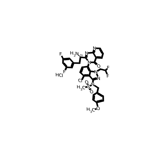 COc1ccc(CN(c2nn(CC(F)F)c3c(-n4c([C@@H](N)Cc5cc(F)cc(F)c5)nc5ncccc5c4=O)ccc(Cl)c23)S(C)(=O)=O)cc1.Cl